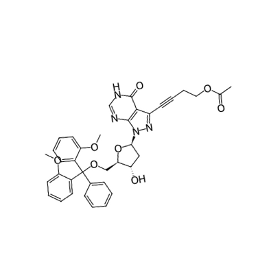 COc1ccccc1C(OC[C@H]1O[C@@H](n2nc(C#CCCOC(C)=O)c3c(=O)[nH]cnc32)C[C@@H]1O)(c1ccccc1)c1ccccc1OC